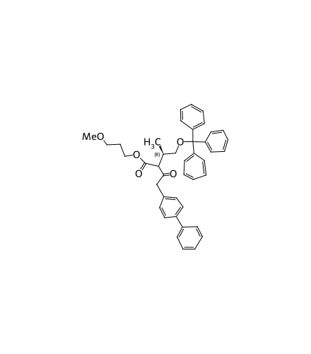 COCCCOC(=O)C(C(=O)Cc1ccc(-c2ccccc2)cc1)[C@@H](C)COC(c1ccccc1)(c1ccccc1)c1ccccc1